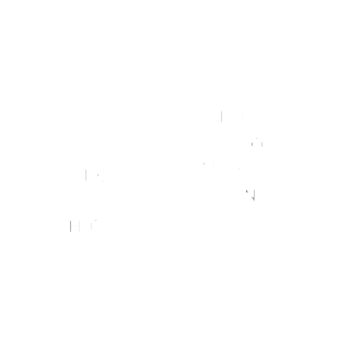 COC(=O)N1C=CC=CC1c1ccc(C(C)C)cc1